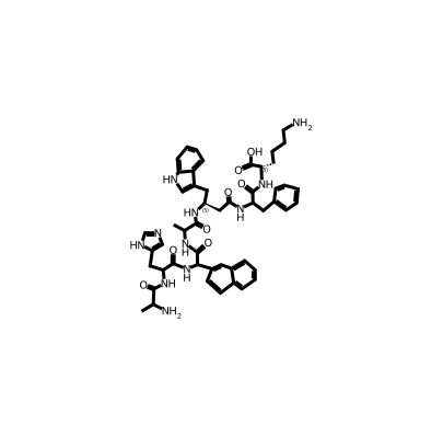 CC(N)C(=O)NC(Cc1cnc[nH]1)C(=O)NC(C(=O)NC(C)C(=O)N[C@H](CC(=O)NC(Cc1ccccc1)C(=O)N[C@@H](CCCCN)C(=O)O)Cc1c[nH]c2ccccc12)c1ccc2ccccc2c1